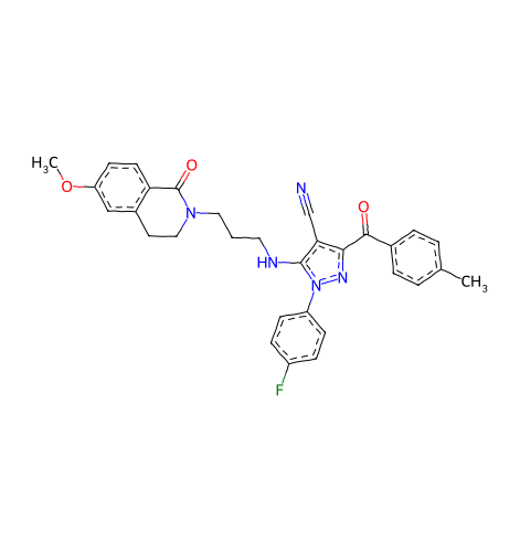 COc1ccc2c(c1)CCN(CCCNc1c(C#N)c(C(=O)c3ccc(C)cc3)nn1-c1ccc(F)cc1)C2=O